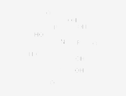 C[C@@H](C(=O)O)N(P(=O)(O)O)P(=O)(O)O